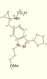 COCCCn1nc(C2CCCC2)c2ccc(CC3(NC(=O)O)CC3)cc21